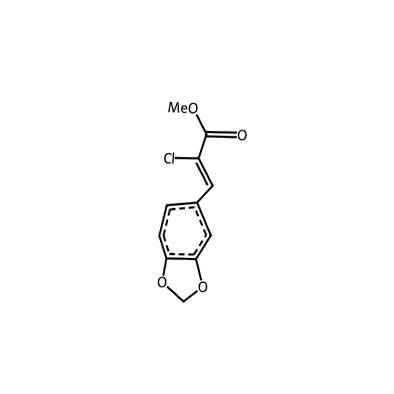 COC(=O)/C(Cl)=C/c1ccc2c(c1)OCO2